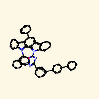 c1ccc(-c2ccc(-c3cccc(-c4nc(-c5ccccc5)nc(-n5c6ccccc6c6cc(-c7ccccc7)c7c8ccccc8n(-c8ccccc8)c7c65)n4)c3)cc2)cc1